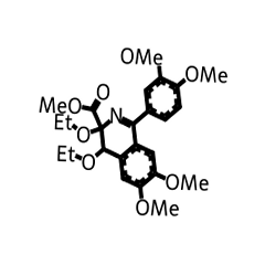 CCOC1c2cc(OC)c(OC)cc2C(c2ccc(OC)c(OC)c2)=NC1(OCC)C(=O)OC